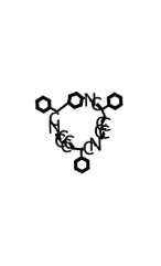 C1=Nc2ccc(cc2)C(c2ccccc2)=C=Nc2ccc(cc2)C(c2ccccc2)=C=Nc2ccc(cc2)C=1c1ccccc1